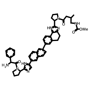 COC(=O)NCC(C)CC(=O)N1CCCC1c1nc2c([nH]1)-c1ccc(-c3ccc4cc(-c5cnc(C6CCCN6C(=O)C(N)c6ccccc6)[nH]5)ccc4c3)cc1CC2